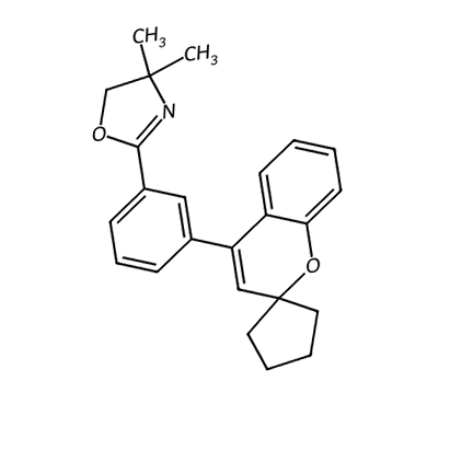 CC1(C)COC(c2cccc(C3=CC4(CCCC4)Oc4ccccc43)c2)=N1